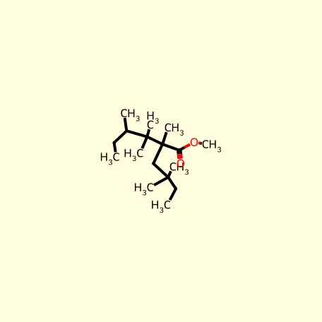 CCC(C)C(C)(C)C(C)(CC(C)(C)CC)C(=O)OC